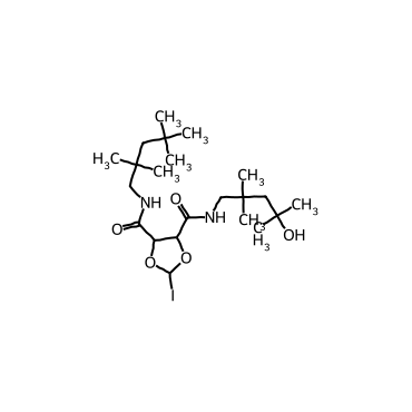 CC(C)(C)CC(C)(C)CNC(=O)C1OC(I)OC1C(=O)NCC(C)(C)CC(C)(C)O